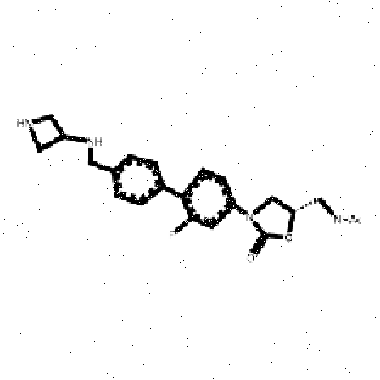 CC(=O)NC[C@H]1CN(c2ccc(-c3ccc(CNC4CNC4)cc3)c(F)c2)C(=O)O1